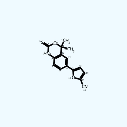 CC1(C)OC(=S)Nc2ccc(-c3ccc(C#N)o3)cc21